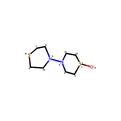 [O-][S+]1CCN(N2CCSCC2)CC1